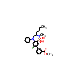 CCCCC1CN(c2ccccc2)c2cc(F)c(-c3cccc(C(=O)OC)c3)cc2S(O)(O)N1C